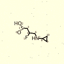 O=S(O)CC(F)CNC1CC1